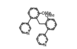 COc1cccc(-c2cccnc2)c1Cc1c(OC)cccc1-c1cccnc1